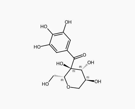 O=C(c1cc(O)c(O)c(O)c1)[C@]1(O)[C@H](O)[C@@H](O)CO[C@@H]1CO